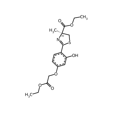 CCOC(=O)COc1ccc(C2=N[C@@](C)(C(=O)OCC)CS2)c(O)c1